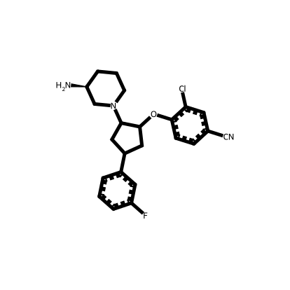 N#Cc1ccc(OC2CC(c3cccc(F)c3)CC2N2CCC[C@H](N)C2)c(Cl)c1